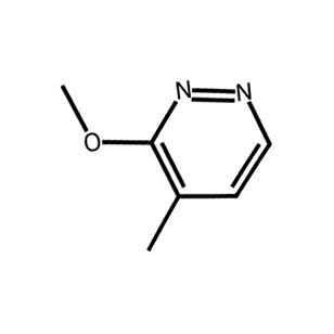 COc1nnccc1C